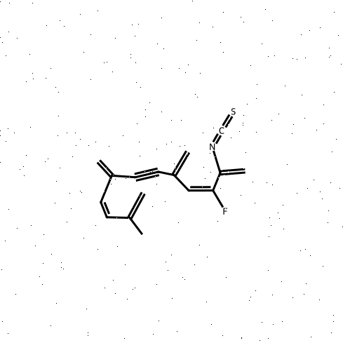 C=C(C)/C=C\C(=C)C#CC(=C)/C=C(/F)C(=C)N=C=S